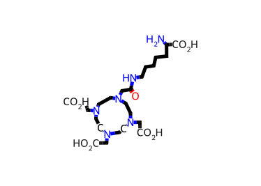 NC(CCCCCNC(=O)CN1CCN(CC(=O)O)CCN(CC(=O)O)CCN(CC(=O)O)CC1)C(=O)O